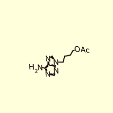 CC(=O)OCCCCn1cnc2c(N)ncnc21